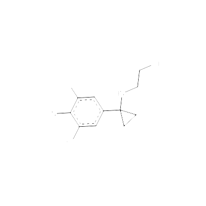 Nc1c(F)cc(C2(NCCO)CC2)cc1Cl